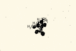 C[n+]1ccn(-c2cc(Oc3cc4c(cc3-c3nc(-c5ccccc5)nc(-c5ccccc5)n3)c3ccccc3n4-c3cc(C(C)(C)C)ccn3)cc(C(C)(C)C)c2)c1